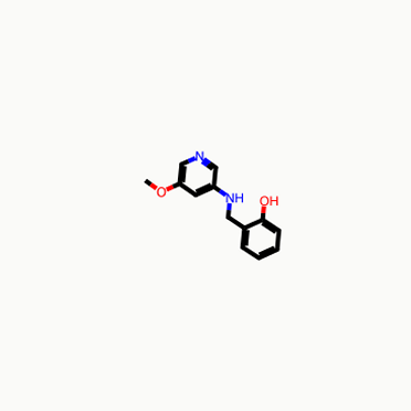 COc1cncc(NCc2ccccc2O)c1